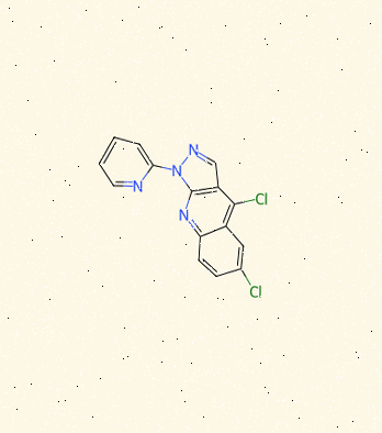 Clc1ccc2nc3c(cnn3-c3ccccn3)c(Cl)c2c1